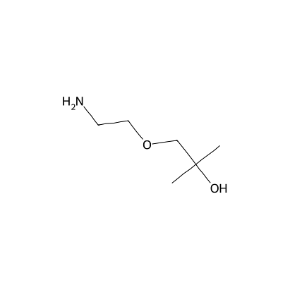 CC(C)(O)COCCN